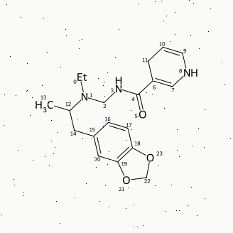 CCN(CNC(=O)C1=CNC=CC1)C(C)Cc1ccc2c(c1)OCO2